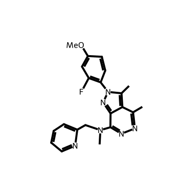 COc1ccc(-n2nc3c(N(C)Cc4ccccn4)nnc(C)c3c2C)c(F)c1